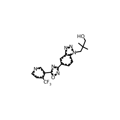 CC(C)(CO)Cn1nnc2cc(-c3noc(-c4cnccc4C(F)(F)F)n3)ccc21